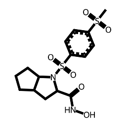 CS(=O)(=O)c1ccc(S(=O)(=O)N2C(C(=O)NO)CC3CCCC32)cc1